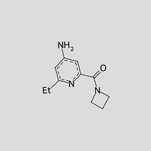 CCc1cc(N)cc(C(=O)N2CCC2)n1